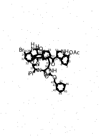 CC(=O)Oc1cccc2c(C(=O)CNC(=O)c3nc4oc3C35c6cc(ccc6O[C@@H]3Nc3c(Br)cccc35)C[C@H](NC(=O)OCc3ccccc3)C(=O)NC4C(C)C)c[nH]c12